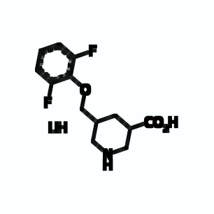 O=C(O)C1CNCC(COc2c(F)cccc2F)C1.[LiH]